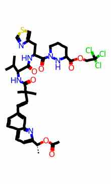 CC(=O)O[C@H](C)c1ccc2ccc(C=CC(C)(C)C(=O)NC(C(=O)NC(Cc3cscn3)C(=O)N3CCCC(C(=O)OCC(Cl)(Cl)Cl)N3)C(C)C)cc2n1